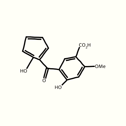 COc1cc(O)c(C(=O)c2ccccc2O)cc1C(=O)O